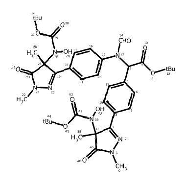 CN1N=C(c2ccc(C(C(=O)OC(C)(C)C)N(C=O)c3ccc(C4=NN(C)C(=O)C4(C)N(O)C(=O)OC(C)(C)C)cc3)cc2)C(C)(N(O)C(=O)OC(C)(C)C)C1=O